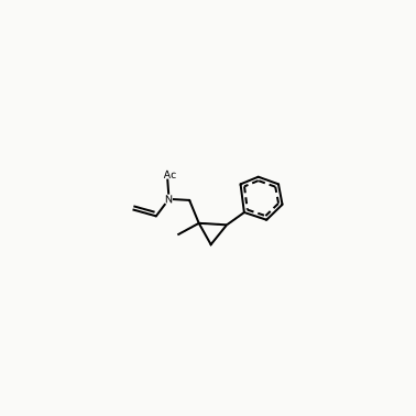 C=CN(CC1(C)CC1c1ccccc1)C(C)=O